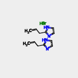 Br.C=CCc1ncc[nH]1.C=CCc1ncc[nH]1